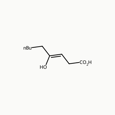 CCCCCC(O)=CCC(=O)O